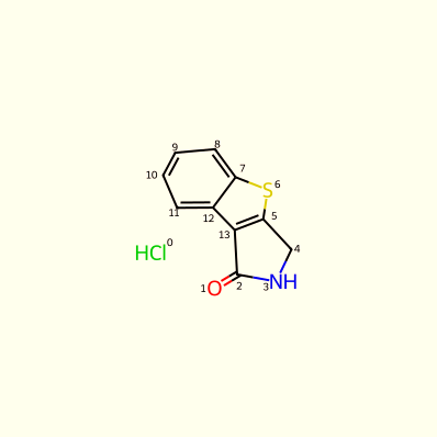 Cl.O=C1NCc2sc3ccccc3c21